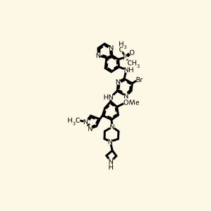 COc1cc(N2CCN(C3CNC3)CC2)c(-c2cnn(C)c2)cc1Nc1ncc(Br)c(Nc2ccc3nccnc3c2P(C)(C)=O)n1